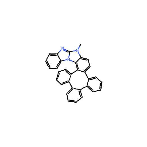 Cn1c2ccc3c(c2n2c4ccccc4nc12)-c1ccccc1-c1ccccc1-c1ccccc1-3